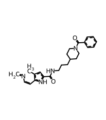 C=N/C=C\c1[nH]c(C(=O)NCCCC2CCN(C(=O)c3ccccc3)CC2)cc1C